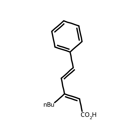 CCCCC(C=Cc1ccccc1)=CC(=O)O